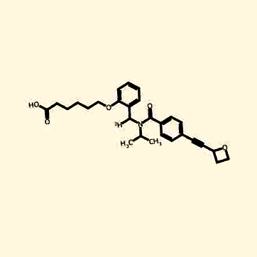 [2H]C(c1ccccc1OCCCCCC(=O)O)N(C(=O)c1ccc(C#CC2CCO2)cc1)C(C)C